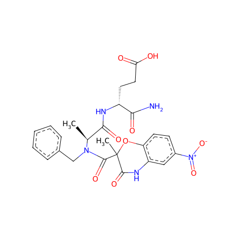 C[C@@H](C(=O)N[C@H](CCC(=O)O)C(N)=O)N(Cc1ccccc1)C(=O)C1(C)Oc2ccc([N+](=O)[O-])cc2NC1=O